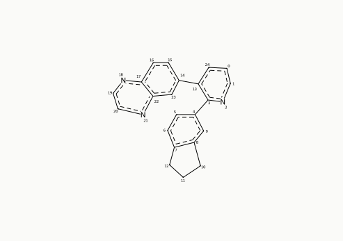 c1cnc(-c2ccc3c(c2)CCC3)c(-c2ccc3nccnc3c2)c1